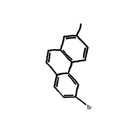 Cc1ccc2c(ccc3ccc(Br)cc32)c1